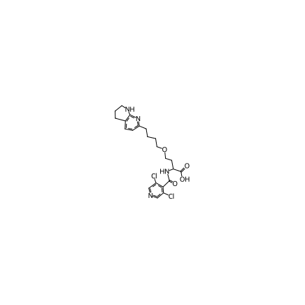 O=C(NC(CCOCCCCc1ccc2c(n1)NCCC2)C(=O)O)c1c(Cl)cncc1Cl